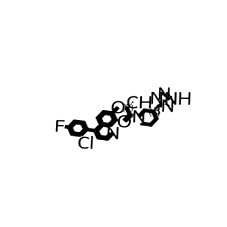 C[C@@H](Oc1ccc2c(-c3ccc(F)cc3Cl)ccnc2c1)C(=O)N1CCC[C@H](c2nn[nH]n2)C1